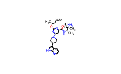 COC[C@@H](C)Oc1nc(C(=O)N[C@@H](C)C(C)(C)N)cc(N2CCC(c3c[nH]c4ncccc34)CC2)n1